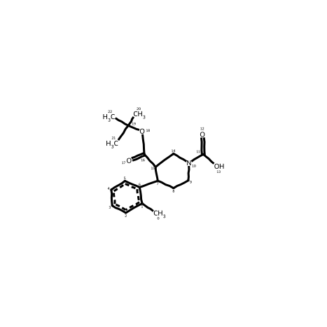 Cc1ccccc1C1CCN(C(=O)O)CC1C(=O)OC(C)(C)C